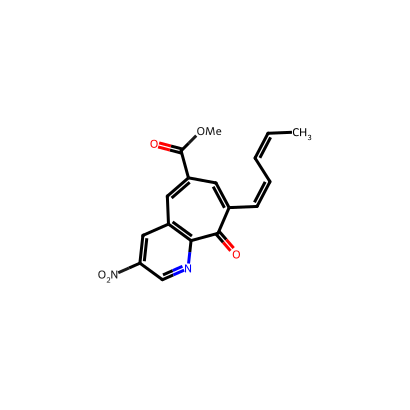 C/C=C\C=C/c1cc(C(=O)OC)cc2cc([N+](=O)[O-])cnc2c1=O